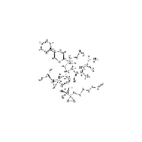 C=CCCCCCC1(S(=O)(=O)NC(=O)[C@@]2(NC(=O)[C@@H]3C[C@@](SCC=C)(C4C=CC(c5ccccc5)=CC4)CN3C(=O)[C@@H](NC(=O)OC(C)(C)C)C(C)(C)C)C[C@H]2C(F)F)CC1